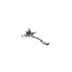 CC[C@@]1(O)C(=O)OCc2c1cc1n(c2=O)Cc2c-1nc1cc(F)c(C)c3c1c2[C@@H](NC(=O)[C@H](CCCCN)NC(=O)[C@H](Cc1ccccc1)NC(=O)CCOCCOCCOCCOCCOCCOCCOCCOCCOCCN=[N+]=[N-])CC3